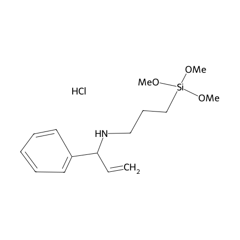 C=CC(NCCC[Si](OC)(OC)OC)c1ccccc1.Cl